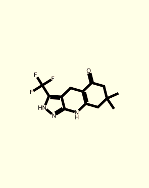 CC1(C)CC(=O)C2=C(C1)Nc1n[nH]c(C(F)(F)F)c1C2